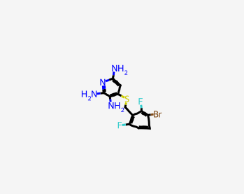 Nc1cc(SCc2c(F)ccc(Br)c2F)c(N)c(N)n1